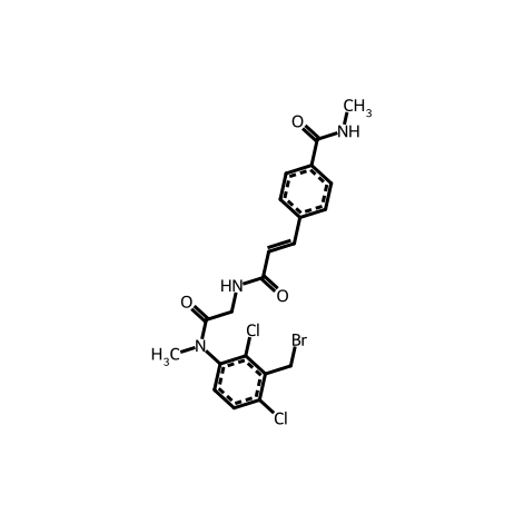 CNC(=O)c1ccc(C=CC(=O)NCC(=O)N(C)c2ccc(Cl)c(CBr)c2Cl)cc1